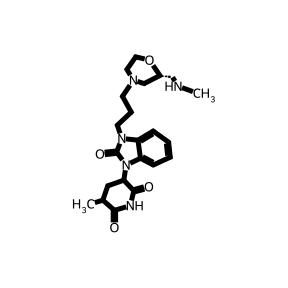 CNC[C@@H]1CN(CCCn2c(=O)n(C3CC(C)C(=O)NC3=O)c3ccccc32)CCO1